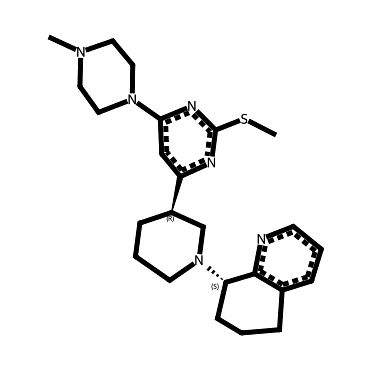 CSc1nc([C@@H]2CCCN([C@H]3CCCc4cccnc43)C2)cc(N2CCN(C)CC2)n1